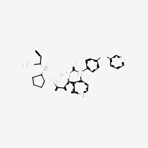 C=CC(O)N[C@H]1CCC[C@H]1NC(=O)c1sc2nccc3c2c1NC(=O)N3c1ccc(Oc2cccnc2)cc1